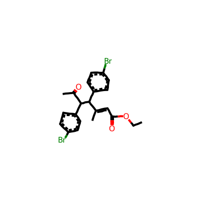 CCOC(=O)C=C(C)C(c1ccc(Br)cc1)C(C(C)=O)c1ccc(Br)cc1